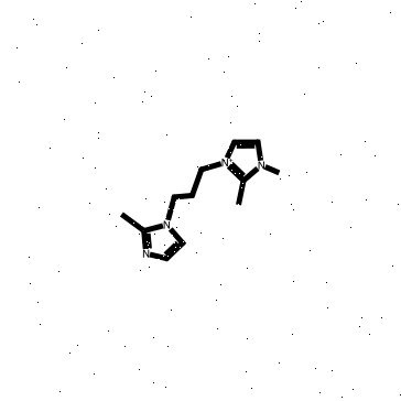 Cc1nccn1CCC[n+]1ccn(C)c1C